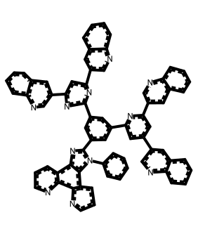 c1ccc(-n2c(-c3cc(-c4cc(-c5cnc6ccccc6c5)cc(-c5cnc6ccccc6c5)n4)cc(-c4nc(-c5cnc6ccccc6c5)cc(-c5cnc6ccccc6c5)n4)c3)nc3c4cccnc4c4ncccc4c32)cc1